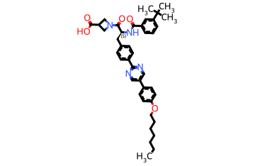 CCCCCCCOc1ccc(-c2cnc(-c3ccc(C[C@H](NC(=O)c4cccc(C(C)(C)C)c4)C(=O)N4CC(C(=O)O)C4)cc3)nc2)cc1